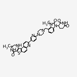 C[C@@H]1CNc2c(sc3ccc4nc(-c5ccc(N6CCN(Cc7cccc8c7n(C)c(=O)n8C7CCC(=O)NC7=O)CC6)nc5)ccc4c23)C(=O)N1